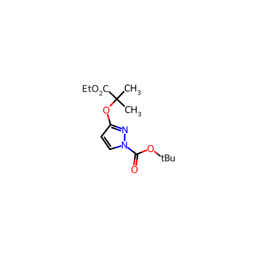 CCOC(=O)C(C)(C)Oc1ccn(C(=O)OC(C)(C)C)n1